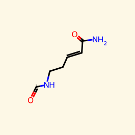 NC(=O)/C=C/CCN[C]=O